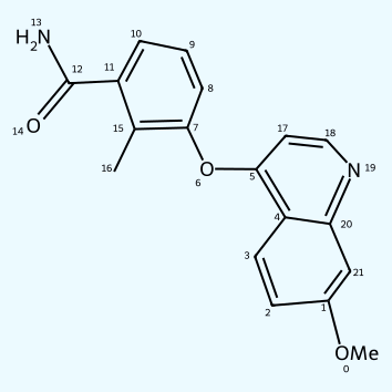 COc1ccc2c(Oc3cccc(C(N)=O)c3C)ccnc2c1